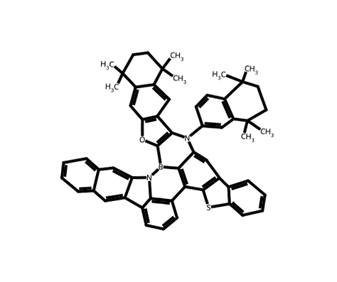 CC1(C)CCC(C)(C)c2cc(N3c4cc5c(sc6ccccc65)c5c4B(c4oc6cc7c(cc6c43)C(C)(C)CCC7(C)C)n3c4cc6ccccc6cc4c4cccc-5c43)ccc21